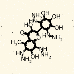 Cc1c(NN)c(O)c(NN)c2oc(-c3c(NN)c(O)c(O)c(O)c3NN)c(O)c(=O)c12